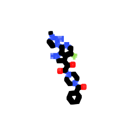 CN1C=CN(c2ncc(F)c3c(C(=O)C(=O)N4CCN(C(=O)c5ccccc5)CC4)c[nH]c23)N1